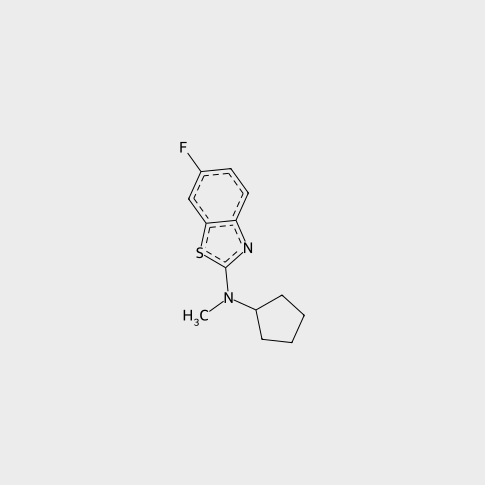 CN(c1nc2ccc(F)cc2s1)C1CCCC1